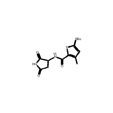 Cc1cc(C(C)(C)C)sc1C(=O)NC1CC(=O)NC1=O